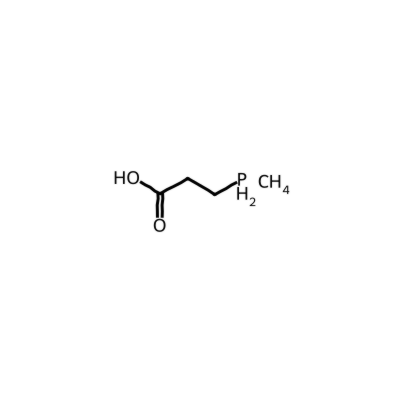 C.O=C(O)CCP